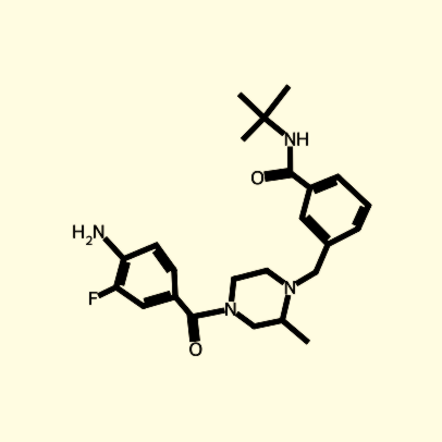 CC1CN(C(=O)c2ccc(N)c(F)c2)CCN1Cc1cccc(C(=O)NC(C)(C)C)c1